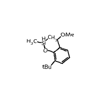 [CH]OCc1cccc(C(C)(C)C)c1O[SiH](C)C